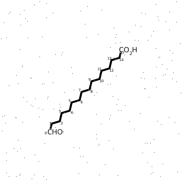 O=[C]CCCCCCCCCCCCCCC(=O)O